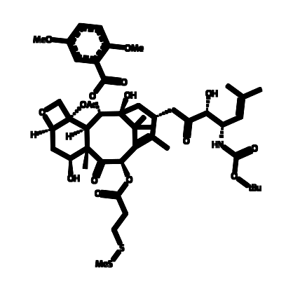 COc1ccc(OC)c(C(=O)O[C@H]2[C@@H]3[C@]4(OC(C)=O)CO[C@@H]4C[C@H](O)[C@@]3(C)C(=O)[C@H](OC(=O)CCSSC)C3=C(C)[C@@H](CC(=O)[C@H](O)[C@H](C=C(C)C)NC(=O)OC(C)(C)C)C[C@]2(O)C3(C)C)c1